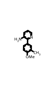 COc1ccc(-c2ncccc2N)cc1C